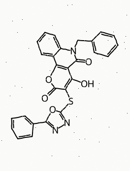 O=c1oc2c(c(O)c1Sc1nnc(-c3ccccc3)o1)c(=O)n(Cc1ccccc1)c1ccccc21